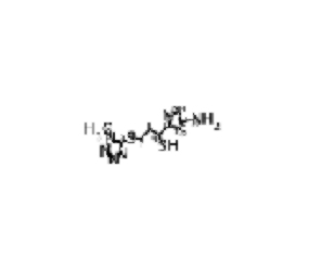 Cn1nnnc1SCCC(S)c1nnc(N)s1